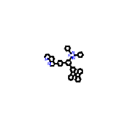 c1ccc(-c2nc(-c3ccccc3)nc(-c3cc(-c4ccc(-c5ccnc6c5ccc5cccnc56)cc4)cc(-c4ccc5c(c4)-c4ccccc4C54c5ccccc5-c5ccccc54)c3)n2)cc1